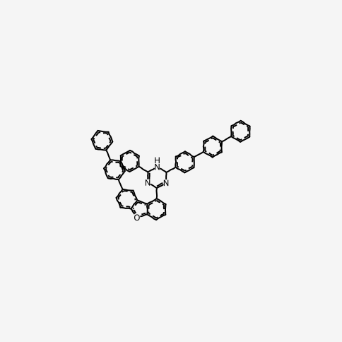 c1ccc(C2=NC(c3cccc4oc5ccc(-c6ccc(-c7ccccc7)cc6)cc5c34)=NC(c3ccc(-c4ccc(-c5ccccc5)cc4)cc3)N2)cc1